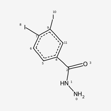 NNC(=O)c1ccc(I)c(I)c1